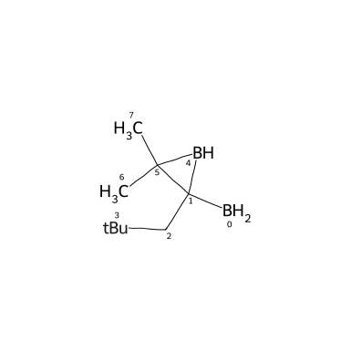 BC1(CC(C)(C)C)BC1(C)C